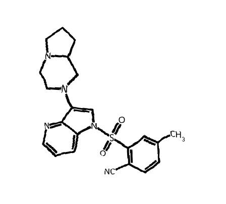 Cc1ccc(C#N)c(S(=O)(=O)n2cc(N3CCN4CCCC4C3)c3ncccc32)c1